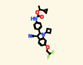 CC(OC(=O)Nc1ccc(C2C(C#N)c3ccc(OCC(F)F)cc3N2C2CCC2)cc1)C1CC1